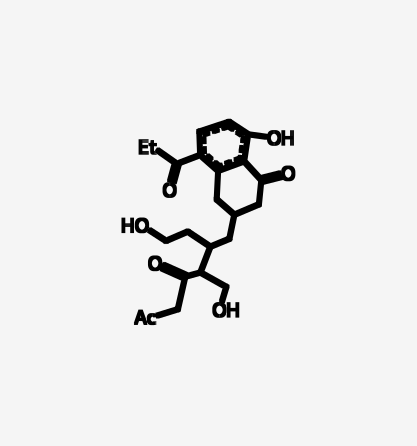 CCC(=O)c1ccc(O)c2c1CC(CC(CCO)C(CO)C(=O)CC(C)=O)CC2=O